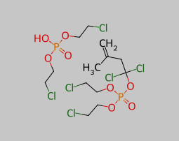 C=C(C)CC(Cl)(Cl)OP(=O)(OCCCl)OCCCl.O=P(O)(OCCCl)OCCCl